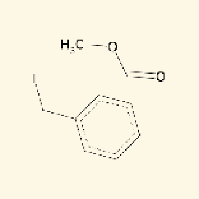 COC=O.ICc1ccccc1